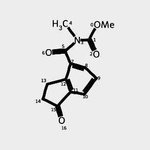 COC(=O)N(C)C(=O)c1cccc2c1CCC2=O